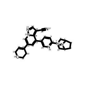 CN1C2CCC1CN(c1ccc(-c3cc(C4=CCOCC4)cn4ncc(C#N)c34)cn1)C2